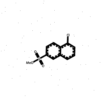 [CH2]OS(=O)(=O)c1ccc2c(Cl)cccc2c1